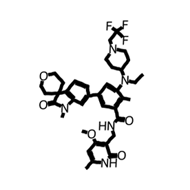 CCN(c1cc(-c2ccc3c(c2)N(C)C(=O)C32CCOCC2)cc(C(=O)NCc2c(OC)cc(C)[nH]c2=O)c1C)C1CCN(CC(F)(F)F)CC1